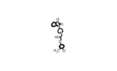 Cc1cc(OCC(O)CN2CCC(n3c(=O)[nH]c4ccccc43)CC2)ccc1Cl